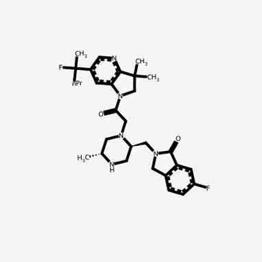 CCCC(C)(F)c1cnc2c(c1)N(C(=O)CN1C[C@@H](C)NC[C@@H]1CN1Cc3ccc(F)cc3C1=O)CC2(C)C